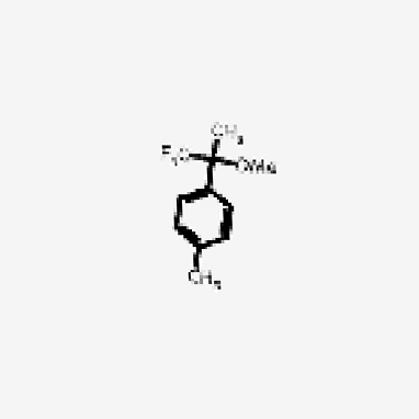 COC(C)(c1ccc(C)cc1)C(F)(F)F